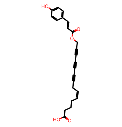 O=C(O)CCC/C=C\CC#CC#CC#CCOC(=O)/C=C/c1ccc(O)cc1